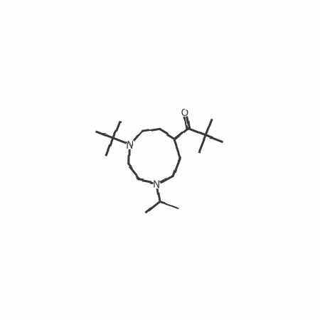 CC(C)N1CCC(C(=O)C(C)(C)C)CCN(C(C)(C)C)CC1